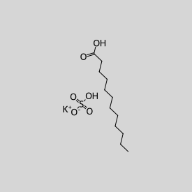 CCCCCCCCCCCC(=O)O.O=S(=O)([O-])O.[K+]